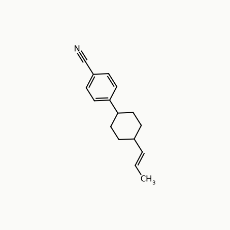 C/C=C/C1CCC(c2ccc(C#N)cc2)CC1